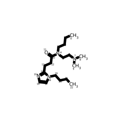 CCCCN(CCN(C)C)C(=O)CCc1nccn1CCCC